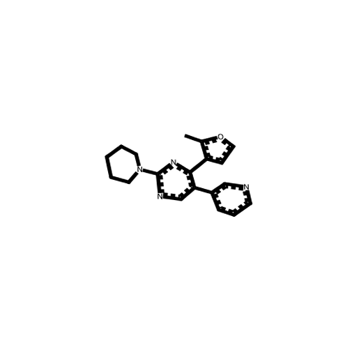 Cc1occc1-c1nc(N2CCCCC2)ncc1-c1cccnc1